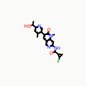 Cc1cc(C(C)O)ncc1-c1cc2cnc(NC(=O)C3CC3F)cc2n(C)c1=O